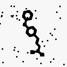 CCN(CC)CC=Cc1ccc(Oc2ccccc2)cc1